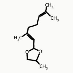 CC(C)=CCC/C(C)=C/C1OCC(C)O1